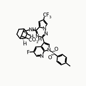 Cc1ccc(S(=O)(=O)n2cc(-c3nc(N[C@H]4C5CCC(CC5)[C@@H]4C(=O)O)c4cc(C(F)(F)F)cn4n3)c3cc(F)cnc32)cc1